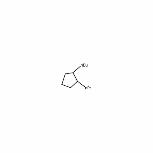 CCCCC1CCCC1CCC